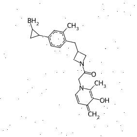 BC1CC1c1ccc(CC2CN(C(=O)CN3C=CC(=C)C(O)=C3C)C2)c(C)c1